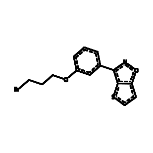 BrCCCOc1cccc(-c2noc3ccsc23)c1